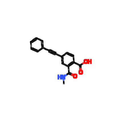 CNC(=O)c1cc(C#Cc2ccccc2)ccc1C(=O)O